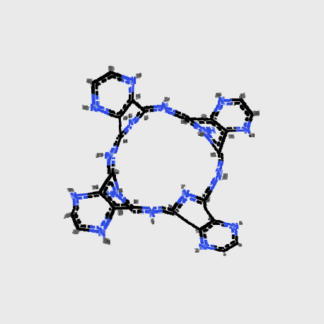 c1cnc2c(n1)-c1nc-2nc2[nH]c(nc3nc(nc4[nH]c(n1)c1nccnc41)-c1nccnc1-3)c1nccnc21